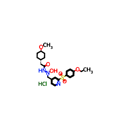 CCOc1ccc(S(=O)(=O)c2cc(CN(O)NC(=O)C[C@H]3CC[C@H](OC)CC3)ccn2)cc1.Cl